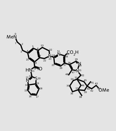 CNCCCc1cc2c(c(C(=O)Nc3nc4ccccc4s3)c1)CN(c1ccc(-c3cnn(CC45CCCC(C)(CC(C)(CCOC)C4)C5)c3C)c(C(=O)O)n1)CC2